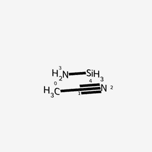 CC#N.N[SiH3]